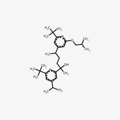 CC(C)COc1cc(C(C)CCC(C)(O)c2cc(C(C)C)cc(C(C)(C)C)n2)cc(C(C)(C)C)n1